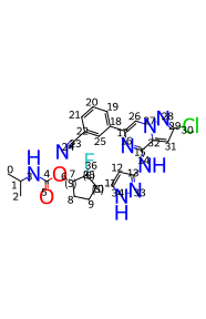 CC(C)NC(=O)O[C@H]1CC[C@@H](c2cc(Nc3nc(-c4cccc(C#N)c4)cn4nc(Cl)cc34)n[nH]2)[C@@H]1F